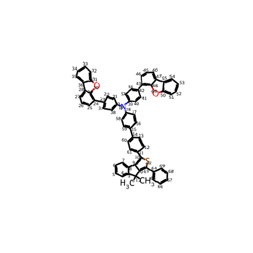 CC1(C)c2ccccc2-c2c(-c3ccc(-c4ccc(N(c5ccc(-c6cccc7c6oc6ccccc67)cc5)c5ccc(-c6cccc7c6oc6ccccc67)cc5)cc4)cc3)sc(-c3ccccc3)c21